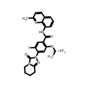 Cc1ccc2cccc(NC(=O)c3cc(F)c(-n4nc5n(c4=O)CCCC5)cc3O[C@@H](C)C(F)(F)F)c2n1